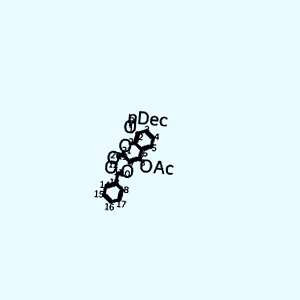 CCCCCCCCCCOc1cccc2c(OC(C)=O)c(OC(=O)c3ccccc3)c(=O)oc12